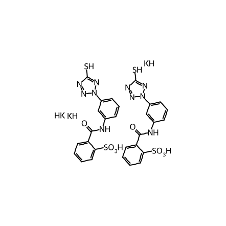 O=C(Nc1cccc(-n2nnc(S)n2)c1)c1ccccc1S(=O)(=O)O.O=C(Nc1cccc(-n2nnc(S)n2)c1)c1ccccc1S(=O)(=O)O.[KH].[KH].[KH]